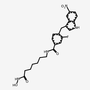 O=C(CCCCCCNC(=O)c1ccc(Cc2c[nH]c3ccc([N+](=O)[O-])cc23)c(F)c1)NO